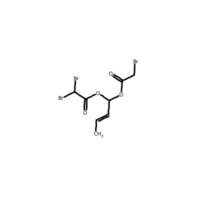 CC=CC(OC(=O)CBr)OC(=O)C(Br)Br